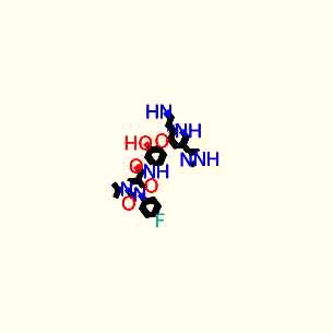 CC(C)n1cc(C(=O)Nc2ccc(OC3=CC(c4c[nH]cn4)=CN/C3=C\C=N)c(O)c2)c(=O)n(-c2ccc(F)cc2)c1=O